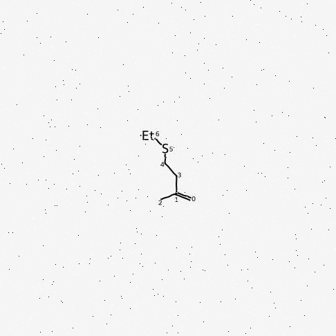 C=C(C)CCS[CH]C